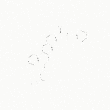 O=C(O)CCCCc1cc2cc(C(=O)NCc3ccccc3)ccc2nc1-c1ccc(F)cc1